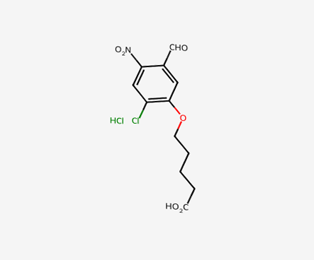 Cl.O=Cc1cc(OCCCCC(=O)O)c(Cl)cc1[N+](=O)[O-]